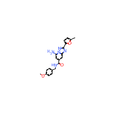 COc1ccc(CNC(=O)c2cc(N)n3nc(-c4ccc(C)o4)nc3c2)cc1